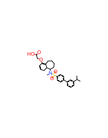 CC(C)c1cccc(-c2ccc(S(=O)(=O)N(C)C3CCCCC4=C(OCC(=O)O)C=CCC43)cc2)c1